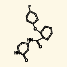 O=C(Nc1cc[nH]c(=O)c1)c1ccccc1Oc1ccc(F)cc1